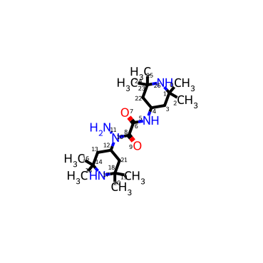 CC1(C)CC(NC(=O)C(=O)N(N)C2CC(C)(C)NC(C)(C)C2)CC(C)(C)N1